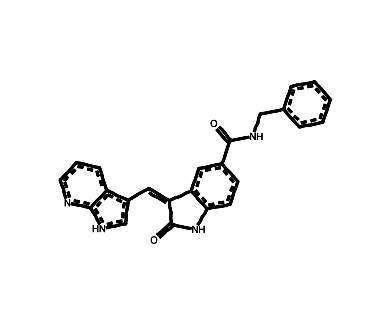 O=C1Nc2ccc(C(=O)NCc3ccccc3)cc2C1=Cc1c[nH]c2ncccc12